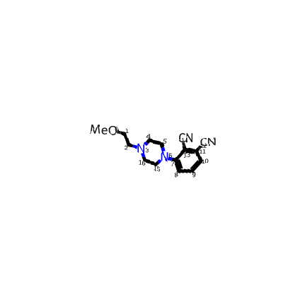 COCCN1CCN(c2cccc(C#N)c2C#N)CC1